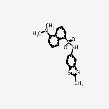 Cc1nc2cc(NS(=O)(=O)c3cccc4c(N(C)C)cccc34)ccc2s1